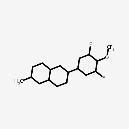 CC1CCC2CC(C3CC(F)C(OC(F)(F)F)C(F)C3)CCC2C1